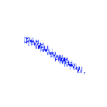 NNNNNNNNNNNNNNNNNNNNNNN